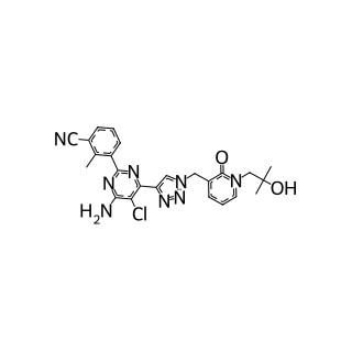 Cc1c(C#N)cccc1-c1nc(N)c(Cl)c(-c2cn(Cc3cccn(CC(C)(C)O)c3=O)nn2)n1